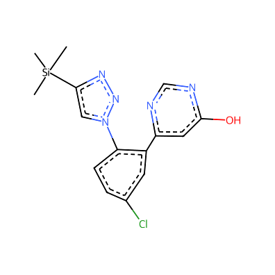 C[Si](C)(C)c1cn(-c2ccc(Cl)cc2-c2cc(O)ncn2)nn1